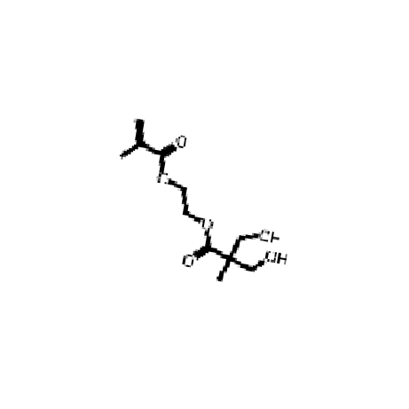 C=C(C)C(=O)OCCOC(=O)C(C)(CO)CO